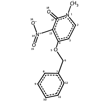 Cn1ccc(OCc2ccccc2)c([N+](=O)[O-])c1=O